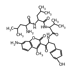 Cc1c(C(=O)C(Cc2ccc(O)cc2)NC(=O)C(NC(=O)C(CC(C)C)NC(=O)C(N)CC(C)C)C(C)C)c(=O)oc2cc(N)ccc12